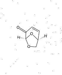 O=C1C=C[C@H]2CO[C@@H]1O2